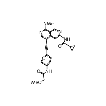 CNc1ncc(C#Cc2ccc(NC(=O)COC)cc2)c2cc(NC(=O)C3CC3)ncc12